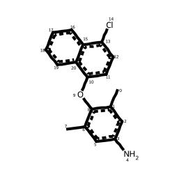 Cc1cc(N)cc(C)c1Oc1ccc(Cl)c2ccccc12